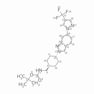 CC(C)(C)OC(=O)NC[C@H]1CC[C@H](n2cc3ccc(-n4cc(C(F)(F)F)cn4)cc3n2)CC1